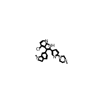 CN1CCN(c2ccc(-c3[nH]c4nccc(Cl)c4c3-c3ccc4c(c3)N(C)CC4)cn2)CC1